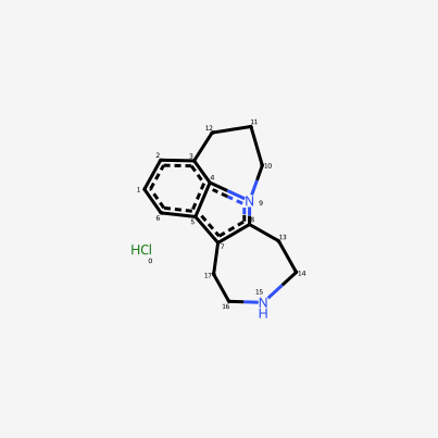 Cl.c1cc2c3c(c1)c1c(n3CCC2)CCNCC1